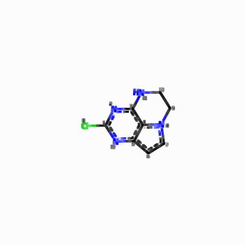 Clc1nc2c3c(ccn3CCN2)n1